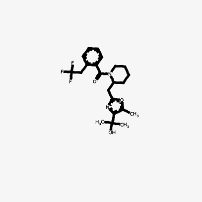 Cc1oc(CC2CCCCN2C(=O)c2ccccc2CC(F)(F)F)nc1C(C)(C)O